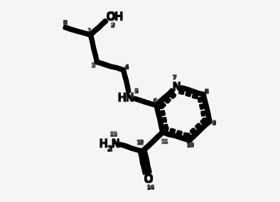 CC(O)CCNc1ncccc1C(N)=O